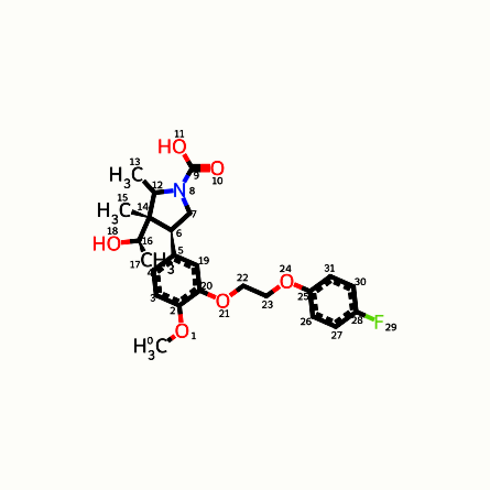 COc1ccc([C@@H]2CN(C(=O)O)C(C)[C@@]2(C)[C@@H](C)O)cc1OCCOc1ccc(F)cc1